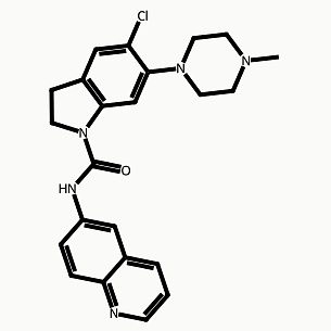 CN1CCN(c2cc3c(cc2Cl)CCN3C(=O)Nc2ccc3ncccc3c2)CC1